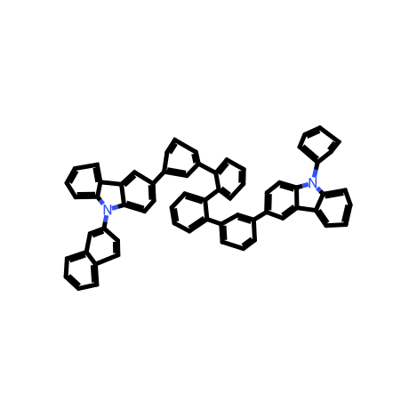 c1ccc(-n2c3ccccc3c3cc(-c4cccc(-c5ccccc5-c5ccccc5-c5cccc(-c6ccc7c(c6)c6ccccc6n7-c6ccc7ccccc7c6)c5)c4)ccc32)cc1